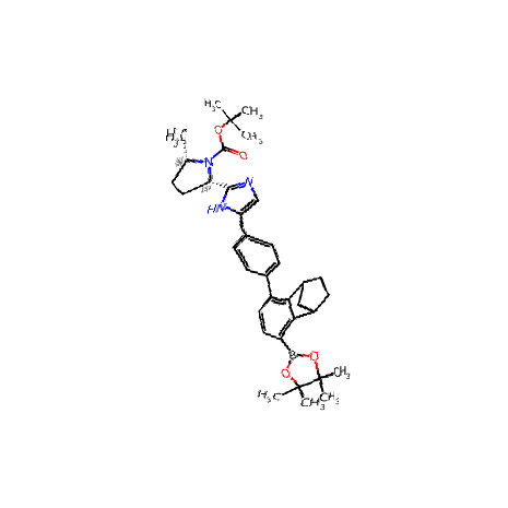 C[C@H]1CC[C@@H](c2ncc(-c3ccc(-c4ccc(B5OC(C)(C)C(C)(C)O5)c5c4C4CCC5C4)cc3)[nH]2)N1C(=O)OC(C)(C)C